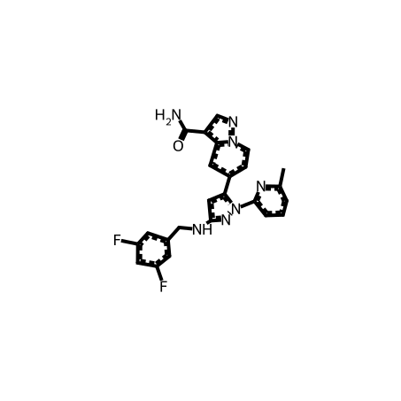 Cc1cccc(-n2nc(NCc3cc(F)cc(F)c3)cc2-c2ccn3ncc(C(N)=O)c3c2)n1